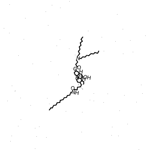 CCCCCCCCCCCCCCNC(=O)CC[C@@H](C)[C@H]1CC[C@H]2[C@@H]3[C@@H](O)C[C@@H]4C[C@H](OC(=O)CCCN(CCCCCCCCCC)CCCCCCCCCC)CC[C@]4(C)[C@H]3CC[C@]12C